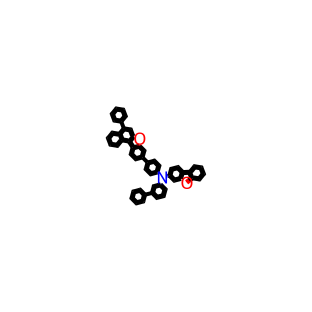 c1ccc(-c2cccc(N(c3ccc(-c4ccc5c(c4)oc4cc(-c6ccccc6)c6ccccc6c45)cc3)c3ccc4c(c3)oc3ccccc34)c2)cc1